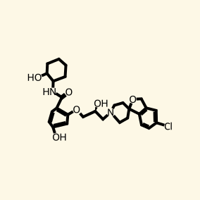 O=C(NC1CCCCC1O)c1ccc(O)cc1OC[C@@H](O)CN1CCC2(CC1)OCc1cc(Cl)ccc12